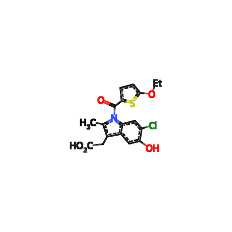 CCOc1ccc(C(=O)n2c(C)c(CC(=O)O)c3cc(O)c(Cl)cc32)s1